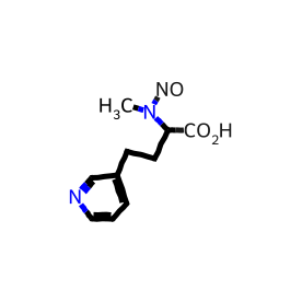 CN(N=O)C(CCc1cccnc1)C(=O)O